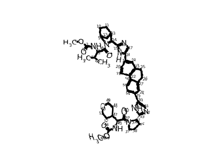 COC(=O)N[C@H](C(=O)N1C2CCC(C2)C1c1ncc(-c2ccc3c(c2)CCc2cc(-c4cnc([C@@H]5CCCN5C(=O)[C@@H](NC(=O)OC)C5CCOCC5)[nH]4)ccc2-3)[nH]1)C(C)C